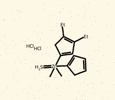 CCC1=C(CC)C[C]([Zr]([CH3])([CH3])(=[SiH2])[C]2=CC=CC2)=C1.Cl.Cl